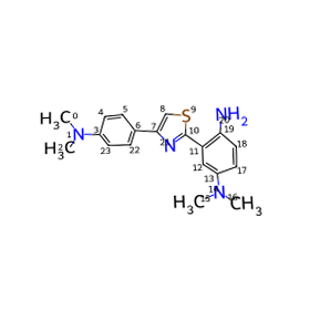 CN(C)c1ccc(-c2csc(-c3cc(N(C)C)ccc3N)n2)cc1